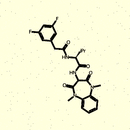 CC(C)[C@H](NC(=O)Cc1cc(F)cc(F)c1)C(=O)NC1C(=O)N(C)c2ccccc2N(C)C1=O